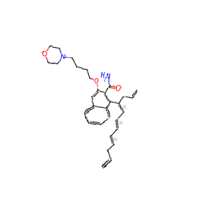 C=CC/C=C/C=C/C=C(/CC=C)c1c(C(N)=O)c(OCCCCN2CCOCC2)cc2ccccc12